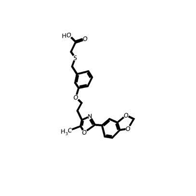 Cc1oc(-c2ccc3c(c2)OCO3)nc1CCOc1cccc(CSCC(=O)O)c1